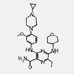 CCc1nc(C(N)=O)c(Nc2ccc(N3CCN(C4CC4)CC3)c(OC)c2)nc1NC1CCOCC1